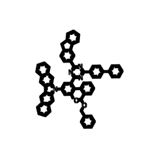 Cc1cc(-n2c3cc4ccccc4cc3c3cc4ccccc4cc32)cc(-c2nc(-c3ccc(-c4ccccc4)cc3)nc(-c3ccc4c(c3)-c3ccccc3C4)n2)c1-c1ccccc1C(=O)OCc1ccccc1